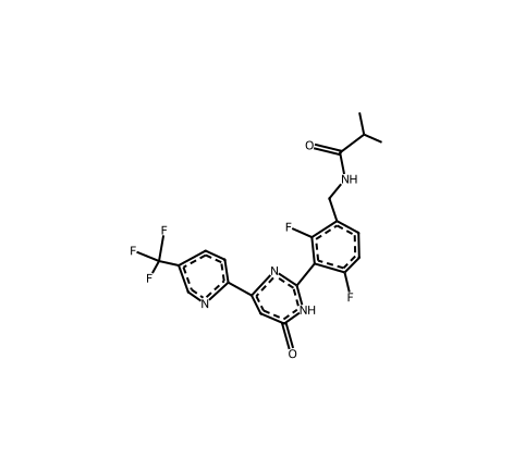 CC(C)C(=O)NCc1ccc(F)c(-c2nc(-c3ccc(C(F)(F)F)cn3)cc(=O)[nH]2)c1F